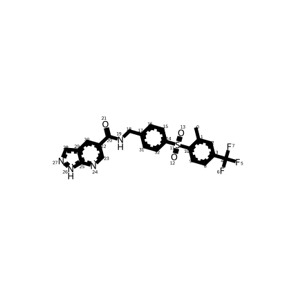 Cc1cc(C(F)(F)F)ccc1S(=O)(=O)c1ccc(CNC(=O)c2cnc3[nH]ncc3c2)cc1